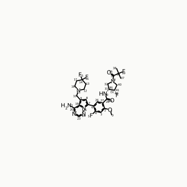 COc1cc(F)c(-c2cc(CN3CCC(F)(F)CC3)c3c(N)ncnn23)cc1C(=O)N[C@@H]1CN(C(=O)C(C)(C)F)C[C@@H]1F